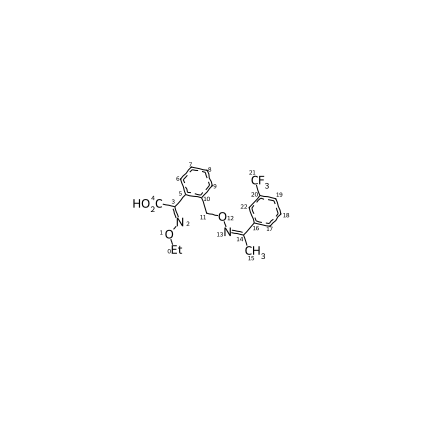 CCON=C(C(=O)O)c1ccccc1CON=C(C)c1cccc(C(F)(F)F)c1